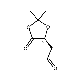 CC1(C)OC(=O)[C@H](C[C]=O)O1